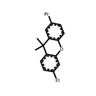 CCc1ccc2c(c1)Oc1ccc(C(C)C)cc1C2(C)C